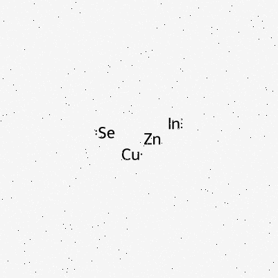 [Cu].[In].[Se].[Zn]